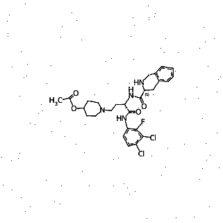 CC(=O)OC1CCN(CCC(NC(=O)[C@@H]2Cc3ccccc3CN2)C(=O)Nc2ccc(Cl)c(Cl)c2F)CC1